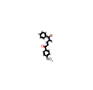 CC(/C=C/C(=O)c1ccc([N+](=O)[O-])cc1)=C(\Br)c1ccccc1